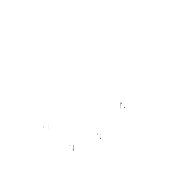 CN(Cc1ccccc1)Cc1cc(Cl)ncn1